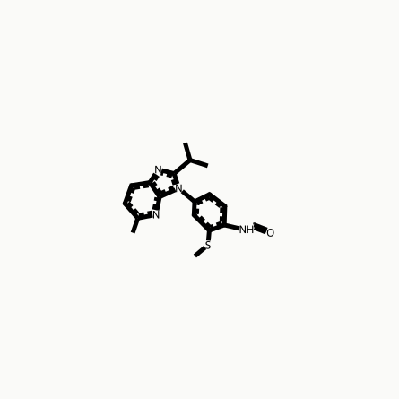 CSc1cc(-n2c(C(C)C)nc3ccc(C)nc32)ccc1NC=O